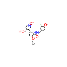 COc1ccc(CNC(=O)c2cc(-c3c[n+]([O-])ccc3CO)ccc2OCC2CC2)cc1F